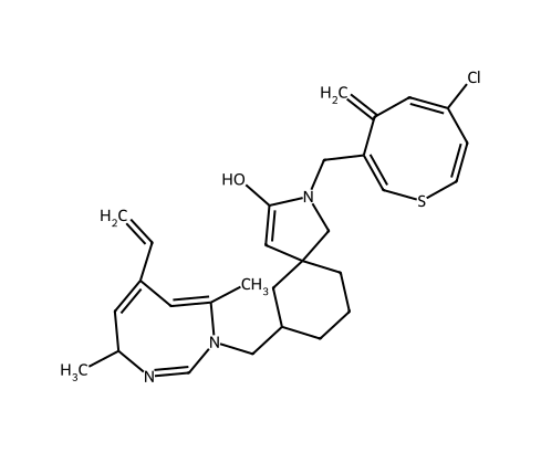 C=CC1=C/C(C)/N=C\N(CC2CCCC3(C=C(O)N(C/C4=C/S/C=C\C(Cl)=C/C4=C)C3)C2)\C(C)=C\1